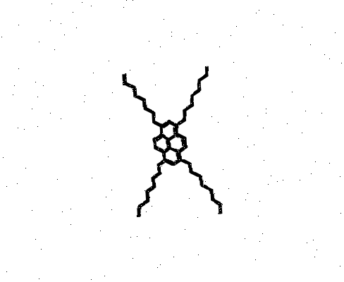 CCCCCCCCc1cc(CCCCCCCC)c2ccc3c(CCCCCCCC)cc(CCCCCCCC)c4ccc1c2c43